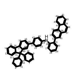 c1ccc(C2(c3ccccc3)c3ccccc3-c3ccc(-c4ccc(Nc5ccccc5-c5ccc6c(ccc7ccccc76)c5)cc4)cc32)cc1